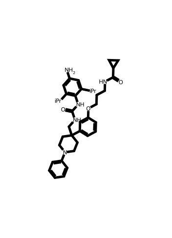 CC(C)c1cc(N)cc(C(C)C)c1NC(=O)NCC1(c2cccc(OCCCNC(=O)C3CC3)c2)CCN(c2ccccc2)CC1